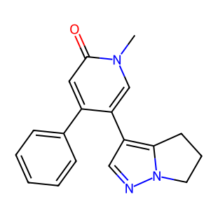 Cn1cc(-c2cnn3c2CCC3)c(-c2ccccc2)cc1=O